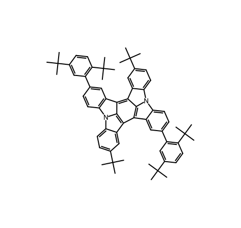 CC(C)(C)c1ccc(C(C)(C)C)c(-c2ccc3c(c2)c2c4c5cc(C(C)(C)C)ccc5n5c6ccc(-c7cc(C(C)(C)C)ccc7C(C)(C)C)cc6c(c6c7cc(C(C)(C)C)ccc7n3c26)c45)c1